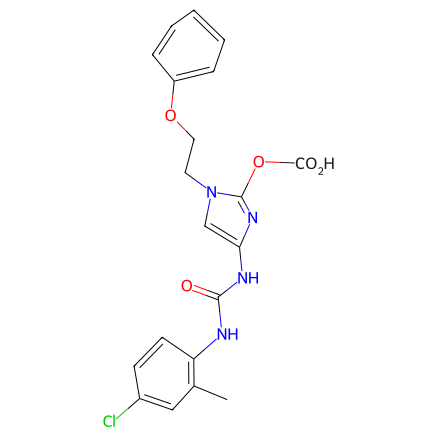 Cc1cc(Cl)ccc1NC(=O)Nc1cn(CCOc2ccccc2)c(OC(=O)O)n1